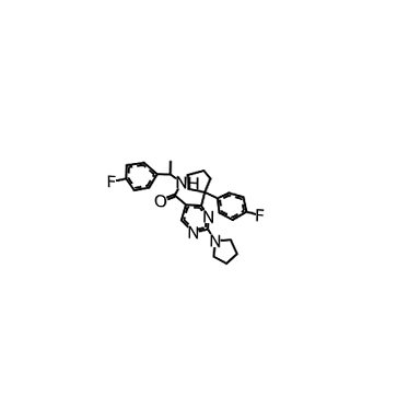 CC(NC(=O)c1cnc(N2CCCC2)nc1C1(c2ccc(F)cc2)CCCC1)c1ccc(F)cc1